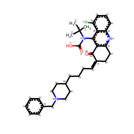 CC(C)(C)N(C(=O)O)c1c2c(nc3cccc(F)c13)CCC(=CCCCC1CCN(Cc3ccccc3)CC1)C2=O